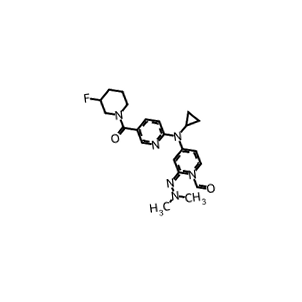 CN(C)/N=c1/cc(N(c2ccc(C(=O)N3CCCC(F)C3)cn2)C2CC2)ccn1C=O